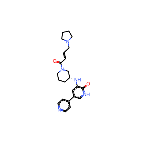 O=C(C=CCN1CCCC1)N1CCC[C@@H](Nc2cc(-c3ccncc3)c[nH]c2=O)C1